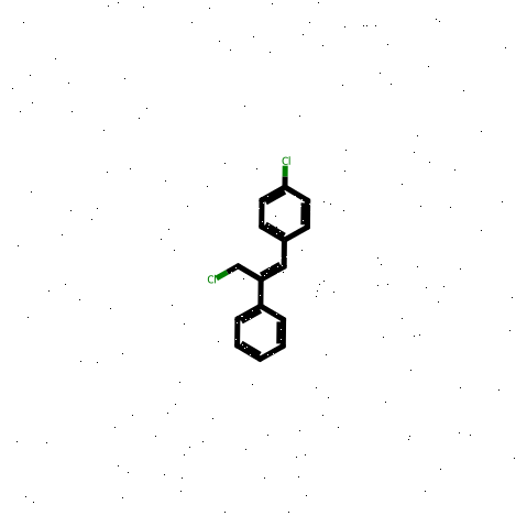 ClCC(=Cc1ccc(Cl)cc1)c1ccccc1